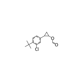 CC(C)(C)c1ccc(C2CC2OC=O)cc1Cl